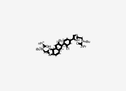 CCCC(=O)N(Cc1ncc(-c2ccc(-c3cc4ccc5nc(CN(C(=O)CCC)[C@@H](C)CC)[nH]c5c4cc3C(C)CC)c(CC)c2)[nH]1)[C@@H](C)CC